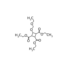 CCOCOC1C(C(=O)OCC)C(C(=O)OCC)C1C(=O)OCC